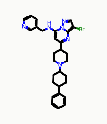 Brc1cnn2c(NCc3cccnc3)cc(C3CCN(C4CCC(c5ccccc5)CC4)CC3)nc12